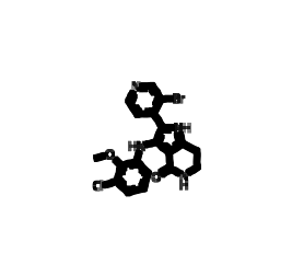 COc1c(Cl)cccc1Nc1c(-c2ccncc2Br)[nH]c2c1C(=O)NCC2